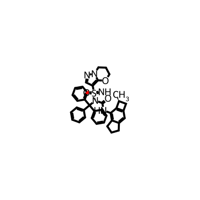 C[C@@H]1Cc2cc3c(c(NC(=O)N(C(c4ccccc4)(c4ccccc4)c4ccccc4)[S@](=N)(=O)c4cnn5c4OCCC5)c21)CCC3